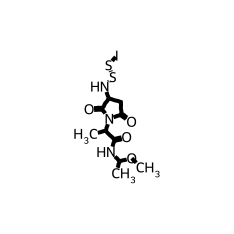 COC(C)NC(=O)C(C)N1C(=O)CC(NSSI)C1=O